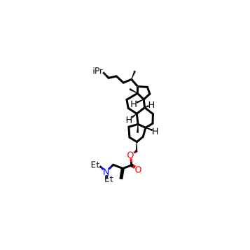 C=C(CN(CC)CC)C(=O)OC[C@H]1CC[C@@]2(C)[C@H](CC[C@@H]3[C@H]2CC[C@]2(C)C([C@H](C)CCCC(C)C)CC[C@H]32)C1